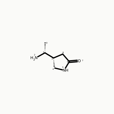 C[C@@H](N)[C@H]1CNC(=O)C1